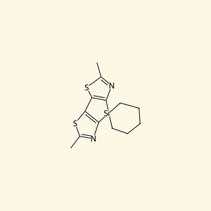 Cc1nc2c(s1)-c1sc(C)nc1[Si]21CCCCC1